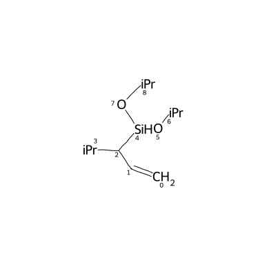 C=CC(C(C)C)[SiH](OC(C)C)OC(C)C